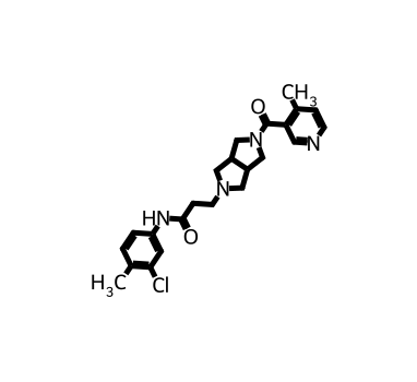 Cc1ccc(NC(=O)CCN2CC3CN(C(=O)c4cnccc4C)CC3C2)cc1Cl